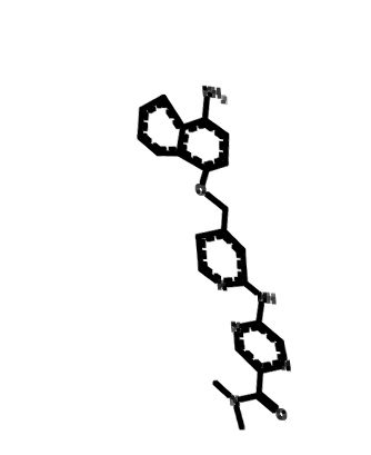 CN(C)C(=O)c1cnc(Nc2cc(COc3ccc(N)c4ccccc34)ccn2)cn1